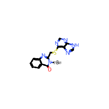 CCCCn1c(CSc2ncnc3[nH]cnc23)nc2ccccc2c1=O